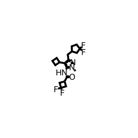 Cn1nc(CC2CCC(F)(F)C2)c(C2CCC2)c1NC(=O)C1CC(F)(F)C1